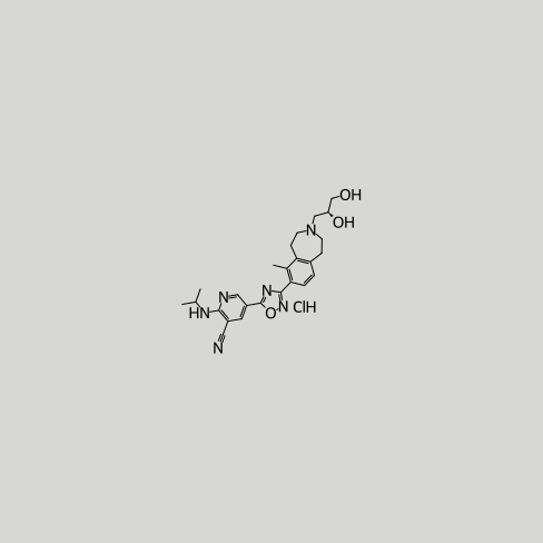 Cc1c(-c2noc(-c3cnc(NC(C)C)c(C#N)c3)n2)ccc2c1CCN(C[C@H](O)CO)CC2.Cl